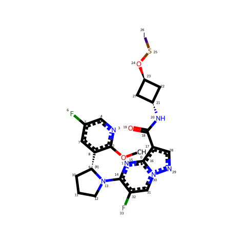 COc1ncc(F)cc1[C@H]1CCCN1c1nc2c(C(=O)N[C@H]3C[C@H](OSI)C3)cnn2cc1F